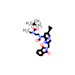 CCN(CCN(C=O)c1cc(C2CC2)cn2cc(CN3C(=O)c4ccccc4C3=O)nc12)C(=O)OC(C)(C)C